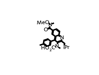 CON(C)C(=O)c1ccc2nc(CC(C)C)c(N(C)C(=O)O)c(-c3ccc(C)cc3)c2c1